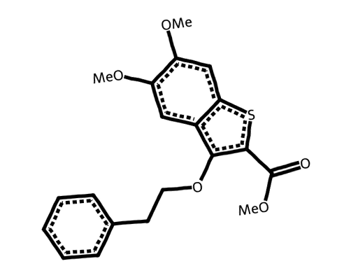 COC(=O)c1sc2cc(OC)c(OC)cc2c1OCCc1ccccc1